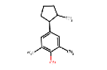 Cc1cc(C2CCCC2C)cc(C)c1O